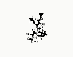 COC(=O)N[C@H](C(=O)N1C[C@@H]2CC(C)(C)[C@@H]2[C@H]1C(=O)N[C@@H](CCC(C)(F)F)C(O)C(=O)NC1CC1)C(C)(C)C